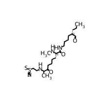 CCC[C@H](C=O)CCCCNC(=O)[C@H](CCCCC(=O)C(C)NCC[SH](=S)=S)NC